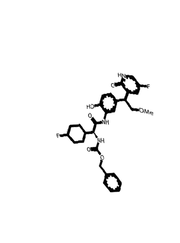 COCC(c1ccc(O)c(NC(=O)[C@@H](NC(=O)OCc2ccccc2)C2CCC(F)CC2)c1)c1cc(F)c[nH]c1=O